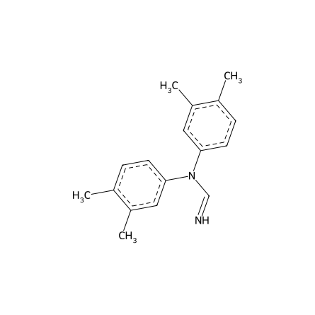 Cc1ccc(N(C=N)c2ccc(C)c(C)c2)cc1C